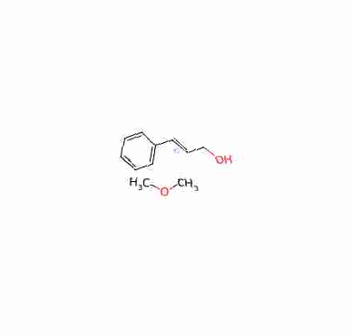 COC.OC/C=C/c1ccccc1